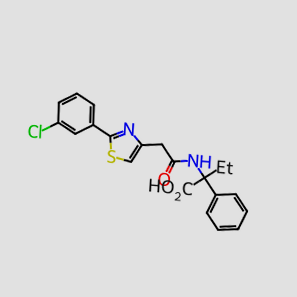 CCC(NC(=O)Cc1csc(-c2cccc(Cl)c2)n1)(C(=O)O)c1ccccc1